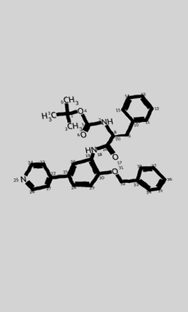 CC(C)(C)OC(=O)N[C@@H](Cc1ccccc1)C(=O)Nc1cc(-c2ccncc2)ccc1OCc1ccccc1